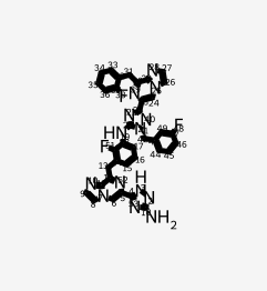 Nc1n[nH]c(-c2cn3ccnc3c(Cc3cccc(Nc4nc(-c5cn6ccnc6c(Cc6ccccc6F)n5)nn4Cc4cccc(F)c4)c3F)n2)n1